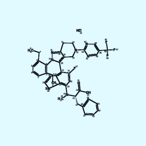 CCc1cccc(CC)c1-n1nc2c(c1-c1c(F)cc(N(C)[C@@H](Cc3ccccc3)C(=O)O)c3[nH]ccc13)CN(c1ncc(C(F)(F)F)cn1)CC2.Cl